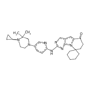 CC1(C)CN(c2ccc(Nc3ncc4cc5n(c4n3)C3(CCCCC3)CCC5=O)nc2)CCN1C1CC1